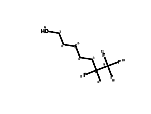 CC(F)(CCSCCO)C(F)(F)F